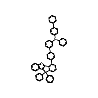 c1ccc(-c2ccc(N(c3ccccc3)c3cccc(-c4ccc(-c5cccc6c5-c5sc7ccccc7c5C6(c5ccccc5)c5ccccc5)cc4)c3)cc2)cc1